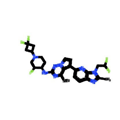 CNc1nc(N[C@@H]2CCN(C3CC(F)(F)C3)C[C@@H]2F)nn2ccc(-c3ccc4nc(C)n(CC(F)F)c4n3)c12